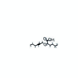 CCCC#CCOC(CCCC)C(=O)O